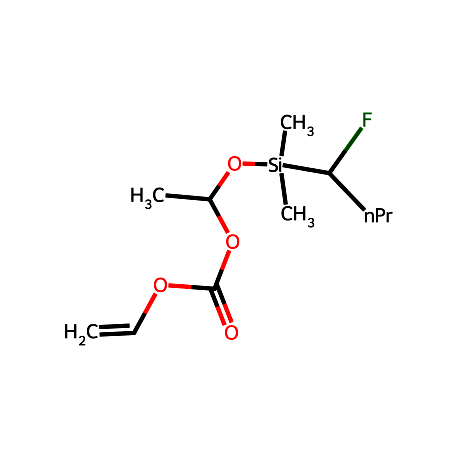 C=COC(=O)OC(C)O[Si](C)(C)C(F)CCC